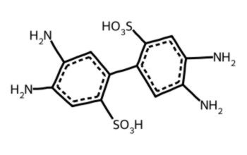 Nc1cc(-c2cc(N)c(N)cc2S(=O)(=O)O)c(S(=O)(=O)O)cc1N